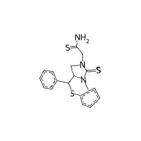 NC(=S)CN1CC2C(c3ccccc3)Sc3ccccc3N2C1=S